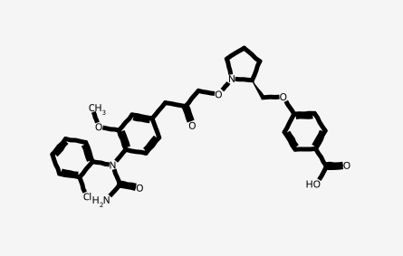 COc1cc(CC(=O)CON2CCC[C@H]2COc2ccc(C(=O)O)cc2)ccc1N(C(N)=O)c1ccccc1Cl